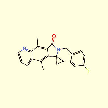 Cc1c2c(c(C)c3ncccc13)C(=O)N(Cc1ccc(F)cc1)C21CC1